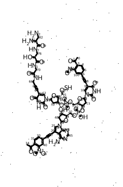 CC(=O)c1ccc(C#Cc2cn([C@H]3C[C@H](OP(=O)(O)OC[C@H]4O[C@@H](n5cc(C#Cc6ccc(C(C)=O)c([N+](=O)[O-])c6)c6c(N)ncnc65)C[C@@H]4O)[C@@H](COP(=O)(O)O[C@H]4C[C@H](n5cc(C#CCNC(=O)CNC(=O)C(O)CNC(=O)C(N)CN)c(=O)[nH]c5=O)O[C@@H]4COS)O3)c(=O)[nH]c2=O)cc1N=O